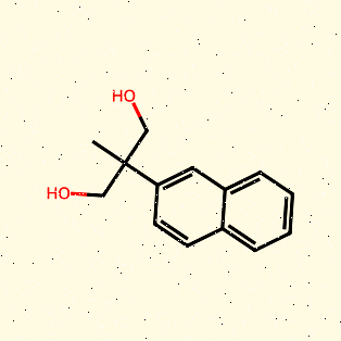 CC(CO)(CO)c1ccc2ccccc2c1